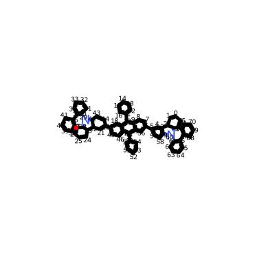 C1=CC2c3cc(-c4ccc5c(-c6ccccc6)c6cc(C7=CC8C9C=CC=CC9N(c9ccccc9-c9ccccc9)C8C=C7)ccc6c(-c6ccccc6)c5c4)ccc3N(c3ccccc3-c3ccccc3)C2C=C1